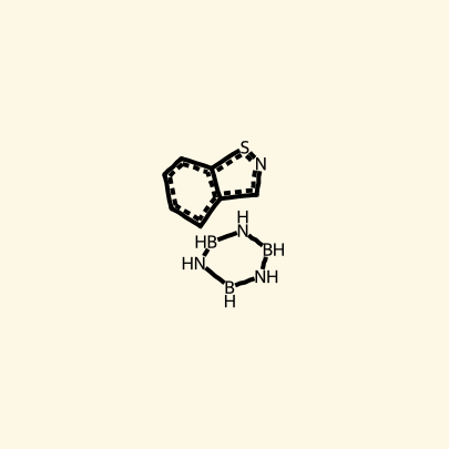 B1NBNBN1.c1ccc2sncc2c1